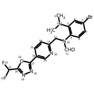 CN(C)c1cc(Br)ccc1N(C=O)Cc1ccc(-c2nnc(C(F)F)o2)cn1